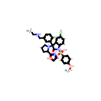 CCNCc1ccc(F)c(C2(N3CCCC3c3ncco3)C(=O)N(S(=O)(=O)c3ccc(OC)cc3)c3ccc(Cl)cc32)c1